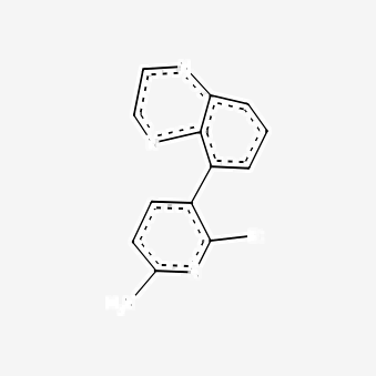 CCc1nc(N)ccc1-c1cccc2nccnc12